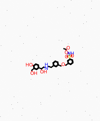 CC(=O)ONS(=O)(=O)c1cccc(COCc2cccc(CCNC[C@@H](O)c3ccc(O)c(CO)c3)c2)c1